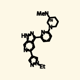 CCn1cc(-c2cc3c(-c4cccc(N5CCC[C@H](NC)C5)n4)n[nH]c3cn2)cn1